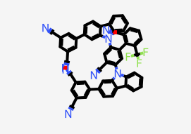 N#Cc1cc(C#N)cc(-c2ccc3c4ccccc4n(-c4cc(-c5c(C#N)cccc5C(F)(F)F)c(-n5c6ccccc6c6ccc(-c7cc(C#N)cc(C#N)c7)cc65)cc4C#N)c3c2)c1